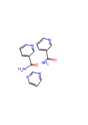 NC(=O)c1cccnc1.NC(=O)c1cccnc1.c1cncnc1